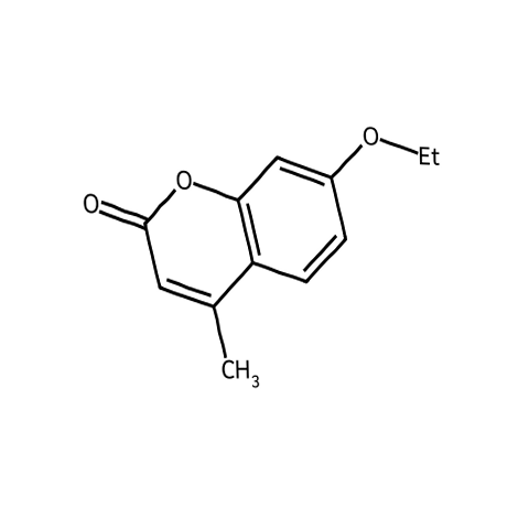 CCOc1ccc2c(C)cc(=O)oc2c1